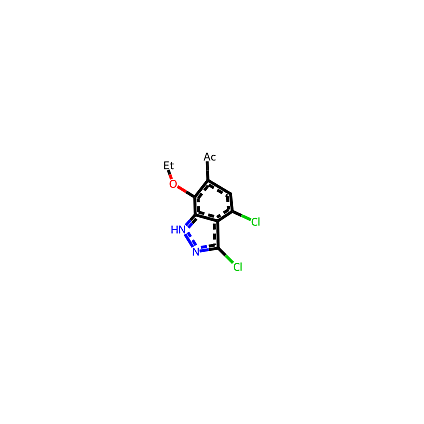 CCOc1c(C(C)=O)cc(Cl)c2c(Cl)n[nH]c12